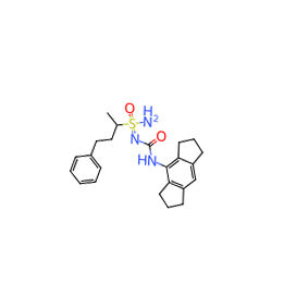 CC(CCc1ccccc1)S(N)(=O)=NC(=O)Nc1c2c(cc3c1CCC3)CCC2